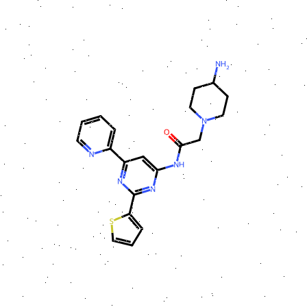 NC1CCN(CC(=O)Nc2cc(-c3ccccn3)nc(-c3cccs3)n2)CC1